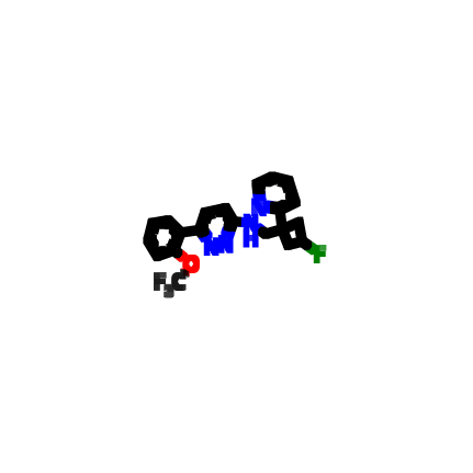 FC1CC(CNc2ccc(-c3ccccc3OC(F)(F)F)nn2)(c2ccccn2)C1